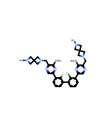 COc1nc(-c2cccc(-c3cccc(-c4cnc(CN5CC6(C5)CN(C(C)=O)C6)c(OC)n4)c3Cl)c2F)cnc1CN1CC2(C1)CN(C(C)=O)C2